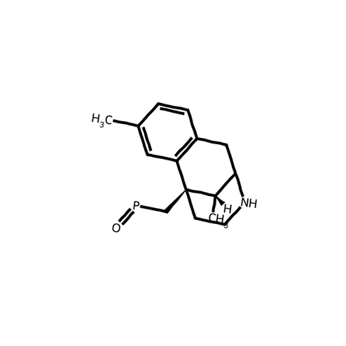 Cc1ccc2c(c1)[C@@]1(CP=O)CCNC(C2)[C@@H]1C